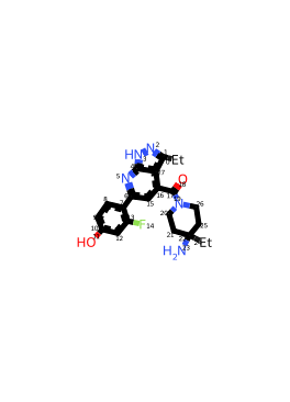 CCc1n[nH]c2nc(-c3ccc(O)cc3F)cc(C(=O)N3CCC(N)(CC)CC3)c12